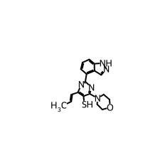 C/C=C/c1nc(-c2cccc3[nH]ncc23)nc(N2CCOCC2)c1S